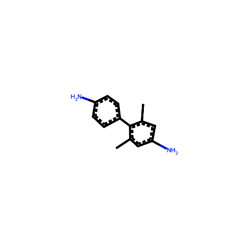 Cc1cc(N)cc(C)c1-c1ccc(N)cc1